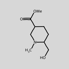 COC(=O)C1CCC(CO)N(C)C1